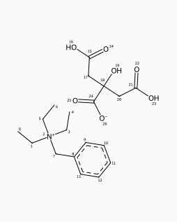 CC[N+](CC)(CC)Cc1ccccc1.O=C(O)CC(O)(CC(=O)O)C(=O)[O-]